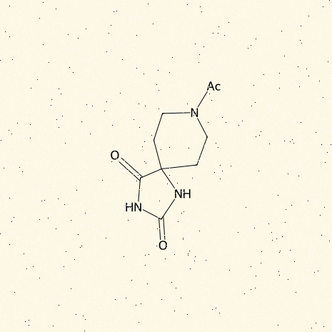 CC(=O)N1CCC2(CC1)NC(=O)NC2=O